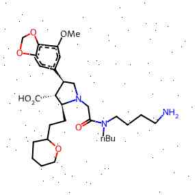 CCCCN(CCCCN)C(=O)CN1C[C@H](c2cc(OC)c3c(c2)OCO3)[C@@H](C(=O)O)[C@@H]1CCC1CCCCO1